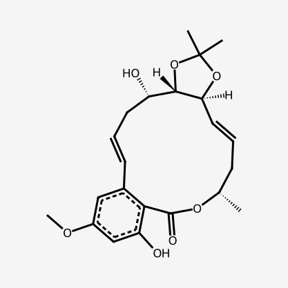 COc1cc(O)c2c(c1)/C=C/C[C@H](O)[C@@H]1OC(C)(C)O[C@H]1/C=C/C[C@H](C)OC2=O